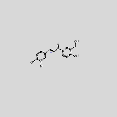 O=C(/C=C/c1ccc(Cl)c(Cl)c1)c1ccc(O)c(CO)c1